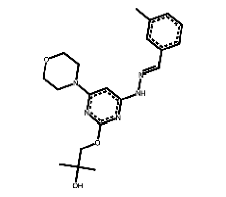 Cc1cccc(C=NNc2cc(N3CCOCC3)nc(OCC(C)(C)O)n2)c1